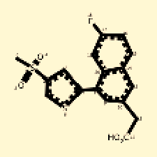 CS(=O)(=O)c1csc(-c2cc(CC(=O)O)cc3ccc(F)cc23)c1